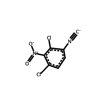 [C-]#[N+]c1ccc(Cl)c([N+](=O)[O-])c1Cl